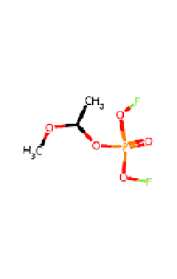 COC(C)OP(=O)(OF)OF